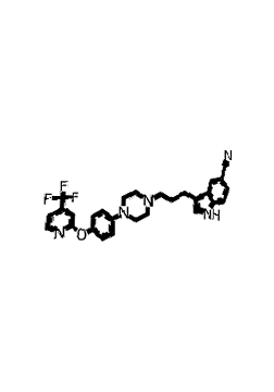 N#Cc1ccc2[nH]cc(CCCN3CCN(c4ccc(Oc5cc(C(F)(F)F)ccn5)cc4)CC3)c2c1